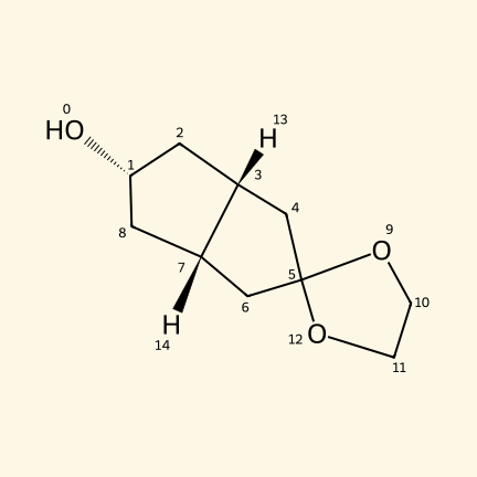 O[C@@H]1C[C@@H]2CC3(C[C@@H]2C1)OCCO3